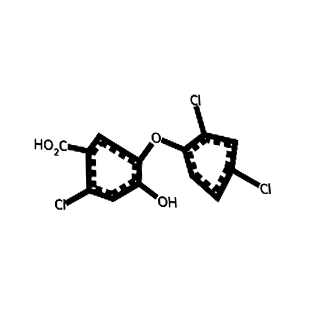 O=C(O)c1cc(Oc2ccc(Cl)cc2Cl)c(O)cc1Cl